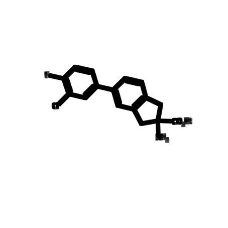 CCOC(=O)C1(N)Cc2ccc(-c3ccc(F)c(Cl)c3)cc2C1